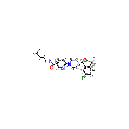 CC(C)CCCNC(=O)c1ccc(N2CCN(C(=O)c3cc(F)ccc3C(F)(F)F)CC2)nc1